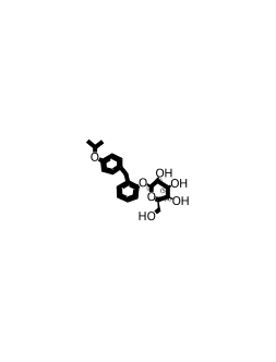 CC(C)Oc1ccc(Cc2ccccc2O[C@@H]2O[C@H](CO)[C@@H](O)[C@H](O)[C@H]2O)cc1